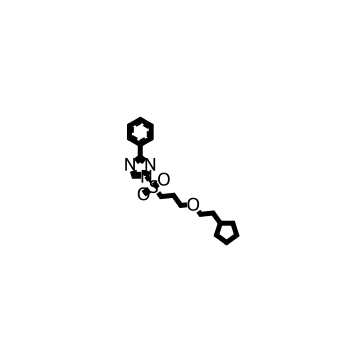 O=S(=O)(CCCOCCC1CCCC1)n1cnc(-c2ccccc2)n1